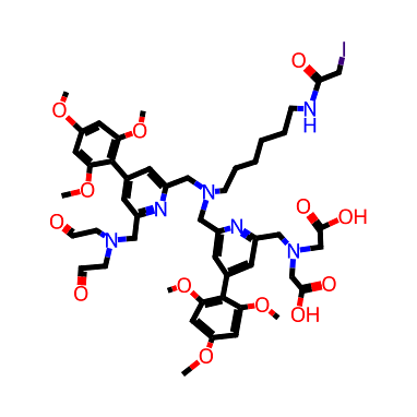 COc1cc(OC)c(-c2cc(CN(CC=O)CC=O)nc(CN(CCCCCCNC(=O)CI)Cc3cc(-c4c(OC)cc(OC)cc4OC)cc(CN(CC(=O)O)CC(=O)O)n3)c2)c(OC)c1